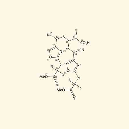 COC(=O)C(C)(C)Cc1nc(C(C#N)CC(CC(C#N)c2coc(CC(C)(C)C(=O)OC)n2)C(C)C(=O)O)co1